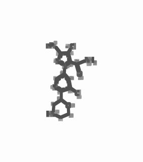 CCCc1nn(-c2cnc(C3CNCCO3)c(Cl)c2)c(C(N)=O)c1Cl